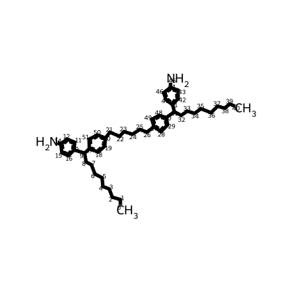 CCCCCCCCCC(c1ccc(N)cc1)c1ccc(CCCCCCc2ccc(C(CCCCCCCCC)c3ccc(N)cc3)cc2)cc1